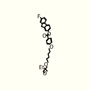 CCC1(COCCCCCCOc2ccc(C(=O)Oc3ccc4c(c3)Cc3cc(F)ccc3-4)cc2)COC1